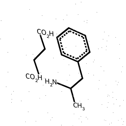 CC(N)Cc1ccccc1.O=C(O)CCC(=O)O